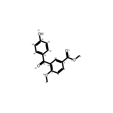 COC(=O)c1ccc(OC)c(C(=O)c2ccc(O)cc2)c1